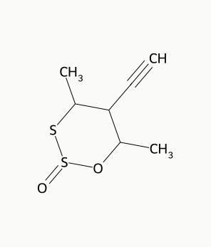 C#CC1C(C)OS(=O)SC1C